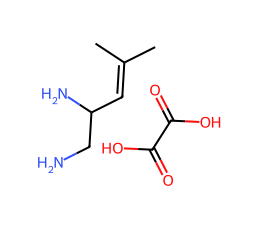 CC(C)=CC(N)CN.O=C(O)C(=O)O